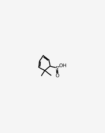 CC1(C)C=CC=CC1S(=O)O